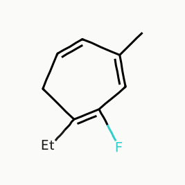 CCC1=C(F)C=C(C)C=CC1